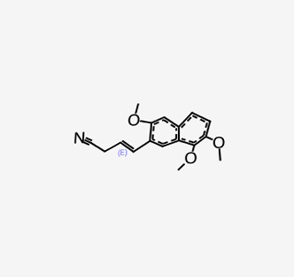 COc1cc2ccc(OC)c(OC)c2cc1/C=C/CC#N